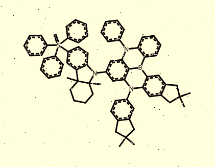 C=S(c1ccccc1)(c1ccccc1)(c1ccccc1)c1ccc2c(c1)C1(C)CCCCC1(C)N2c1cc2c3c(c1)N(c1ccc4c(c1)CC(C)(C)C4)c1cc4c(cc1B3c1ccccc1N2c1ccccc1)CC(C)(C)C4